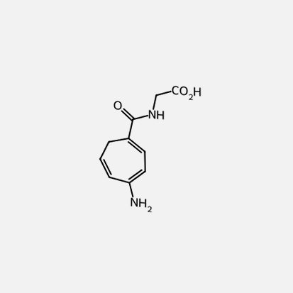 NC1=CC=C(C(=O)NCC(=O)O)CC=C1